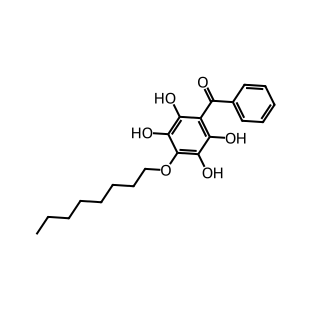 CCCCCCCCOc1c(O)c(O)c(C(=O)c2ccccc2)c(O)c1O